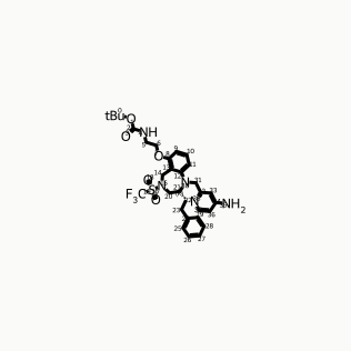 CC(C)(C)OC(=O)NCCOc1cccc2c1CN(S(=O)(=O)C(F)(F)F)C[C@@H](CCc1ccccc1)N2Cc1cc(N)ccn1